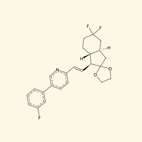 Fc1cccc(-c2ccc(/C=C/[C@H]3[C@@H]4CCC(F)(F)C[C@H]4CC34OCCO4)nc2)c1